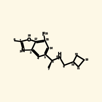 Cc1nc2cc([C@H](C)NCC3CCC3)cc(F)c2o1